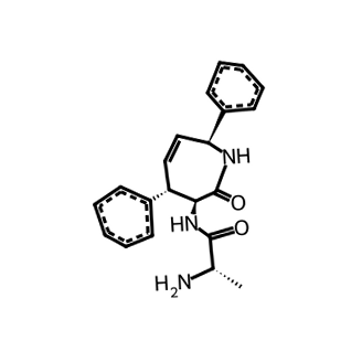 C[C@H](N)C(=O)N[C@@H]1C(=O)N[C@H](c2ccccc2)C=C[C@H]1c1ccccc1